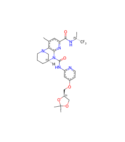 Cc1cc(C(=O)N[C@H](C)C(F)(F)F)nc2c1N1CCC[C@@H](C1)N2C(=O)Nc1cc(OC[C@H]2COC(C)(C)O2)ccn1